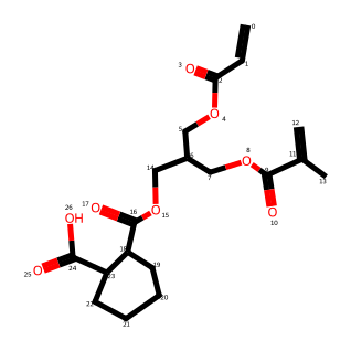 C=CC(=O)OCC(COC(=O)C(=C)C)COC(=O)C1CCCCC1C(=O)O